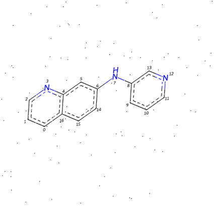 [c]1ccnc2cc(Nc3cccnc3)ccc12